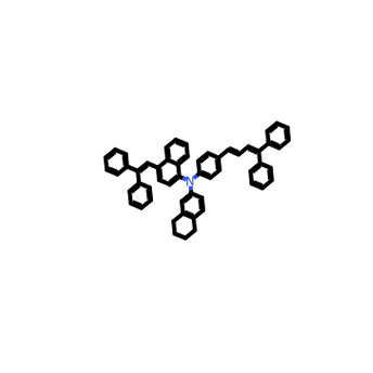 C(/C=C/c1ccc(N(c2ccc3c(c2)CCCC3)c2ccc(C=C(c3ccccc3)c3ccccc3)c3ccccc23)cc1)=C(c1ccccc1)c1ccccc1